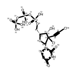 O=c1cnn([C@@H]2O[C@H](COP(=O)(O)OP(=O)(O)OP(=O)(O)O)[C@H](O)C2(Cl)C#CCl)c(=O)[nH]1